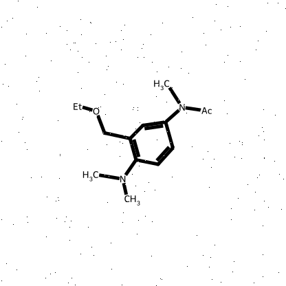 CCOCc1cc(N(C)C(C)=O)ccc1N(C)C